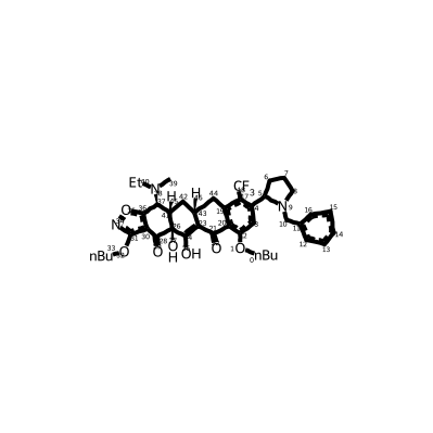 CCCCOc1cc(C2CCCN2Cc2ccccc2)c(C(F)(F)F)c2c1C(=O)C1=C(O)[C@]3(O)C(=O)c4c(OCCCC)noc4[C@@H](N(C)CC)[C@@H]3C[C@@H]1C2